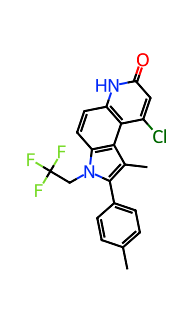 Cc1ccc(-c2c(C)c3c4c(Cl)cc(=O)[nH]c4ccc3n2CC(F)(F)F)cc1